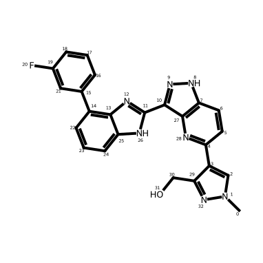 Cn1cc(-c2ccc3[nH]nc(-c4nc5c(-c6cccc(F)c6)cccc5[nH]4)c3n2)c(CO)n1